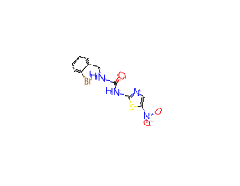 O=C(NCc1ccccc1Br)Nc1ncc([N+](=O)[O-])s1